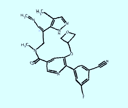 C=N/C=C(/CN(C)C(=O)c1cnc(-c2cc(F)cc(C#N)c2)c(OC2COC2)c1)c1[nH]ncc1C